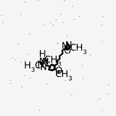 COc1ccc(C2=NN(C)NN2C)cc1CCCCCCc1nnc(C)o1